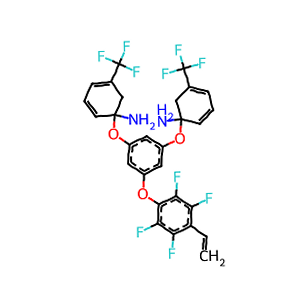 C=Cc1c(F)c(F)c(Oc2cc(OC3(N)C=CC=C(C(F)(F)F)C3)cc(OC3(N)C=CC=C(C(F)(F)F)C3)c2)c(F)c1F